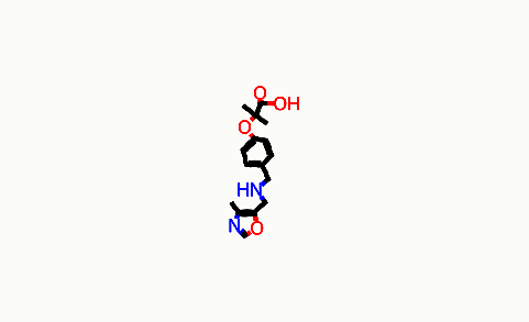 Cc1ncoc1CNCc1ccc(OC(C)(C)C(=O)O)cc1